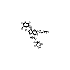 CC#CCOc1nc(NCCN2CCOCC2)c2ncn(Cc3c(F)ccc(C)c3F)c2n1